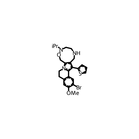 COc1cc2c(cc1Br)-c1c(-c3cccs3)c3c(n1CC2)CON(C(C)C)CCNC3